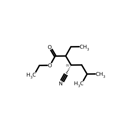 CCOC(=O)C(CC)[C@@H](C#N)CC(C)C